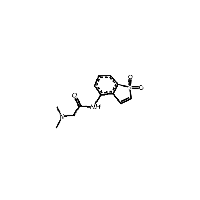 CN(C)CC(=O)Nc1cccc2c1C=CS2(=O)=O